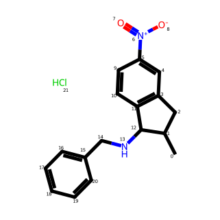 CC1Cc2cc([N+](=O)[O-])ccc2C1NCc1ccccc1.Cl